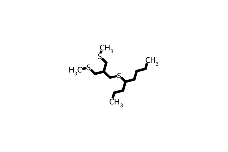 CCCCC(CCC)SCC(CSC)CSC